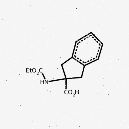 CCOC(=O)NC1(C(=O)O)Cc2ccccc2C1